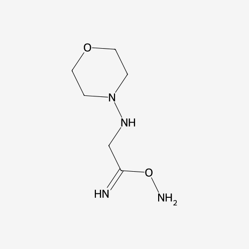 N=C(CNN1CCOCC1)ON